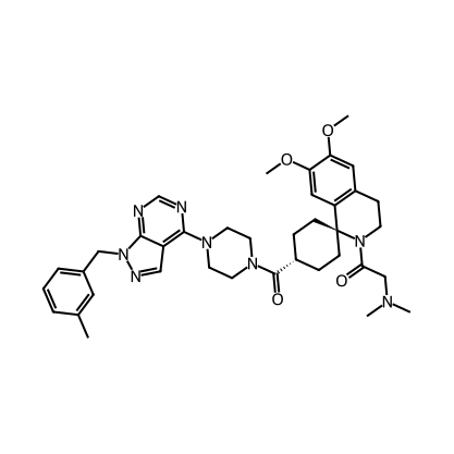 COc1cc2c(cc1OC)[C@]1(CC[C@@H](C(=O)N3CCN(c4ncnc5c4cnn5Cc4cccc(C)c4)CC3)CC1)N(C(=O)CN(C)C)CC2